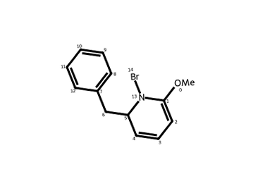 COC1=CC=CC(Cc2ccccc2)N1Br